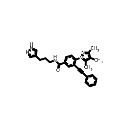 Cc1nn(-c2ccc(C(=O)NCCCc3cn[nH]c3)cc2C#Cc2ccccc2)c(C)c1C